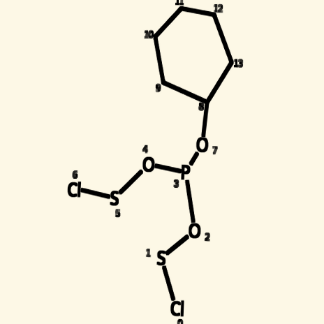 ClSOP(OSCl)OC1CCCCC1